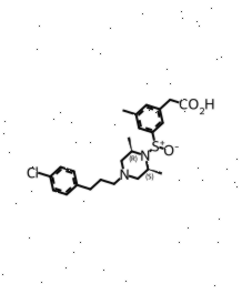 Cc1cc(CC(=O)O)cc([S+]([O-])N2[C@H](C)CN(CCCc3ccc(Cl)cc3)C[C@@H]2C)c1